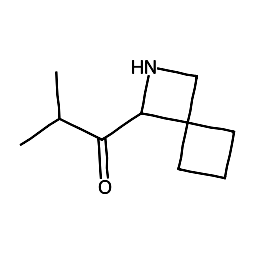 CC(C)C(=O)C1NCC12CCC2